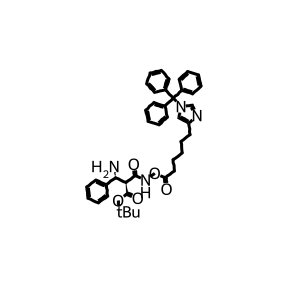 CC(C)(C)OC(=O)[C@H](C(=O)NOC(=O)CCCCCc1cn(C(c2ccccc2)(c2ccccc2)c2ccccc2)cn1)[C@@H](N)c1ccccc1